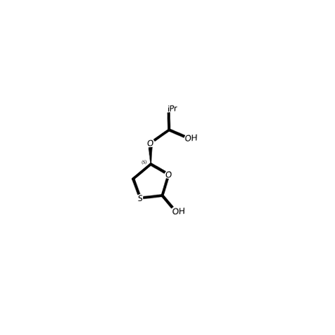 CC(C)C(O)O[C@@H]1CSC(O)O1